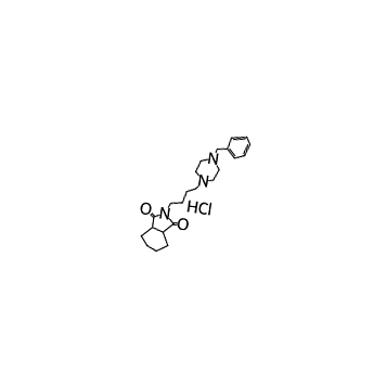 Cl.O=C1C2CCCCC2C(=O)N1CCCCN1CCN(Cc2ccccc2)CC1